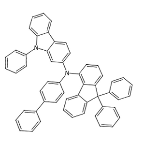 c1ccc(-c2ccc(N(c3ccc4c5ccccc5n(-c5ccccc5)c4c3)c3cccc4c3-c3ccccc3C4(c3ccccc3)c3ccccc3)cc2)cc1